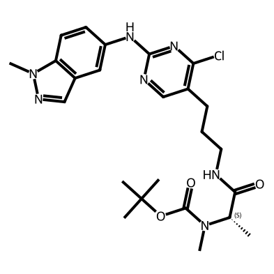 C[C@@H](C(=O)NCCCc1cnc(Nc2ccc3c(cnn3C)c2)nc1Cl)N(C)C(=O)OC(C)(C)C